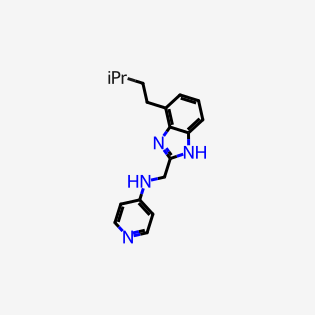 CC(C)CCc1cccc2[nH]c(CNc3ccncc3)nc12